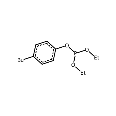 CCOP(OCC)Oc1ccc(C(C)CC)cc1